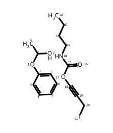 CC(O)Oc1ccccc1.CCCCNC(=O)OC#CCI